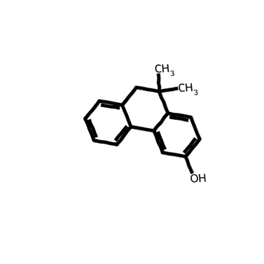 CC1(C)Cc2ccccc2-c2cc(O)ccc21